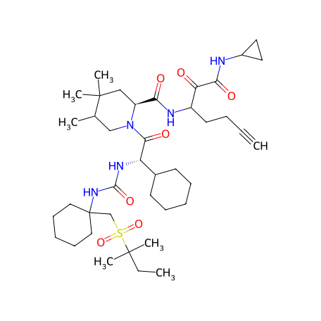 C#CCCC(NC(=O)[C@@H]1CC(C)(C)C(C)CN1C(=O)[C@@H](NC(=O)NC1(CS(=O)(=O)C(C)(C)CC)CCCCC1)C1CCCCC1)C(=O)C(=O)NC1CC1